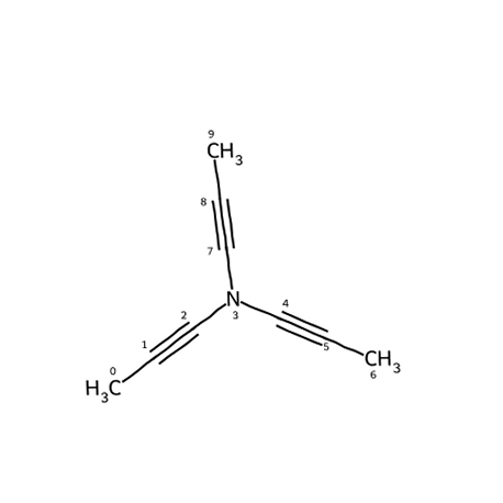 CC#CN(C#CC)C#CC